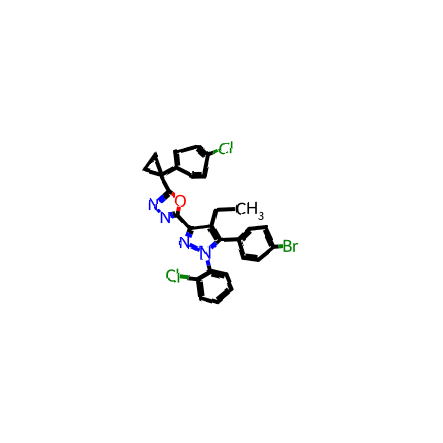 CCc1c(-c2nnc(C3(c4ccc(Cl)cc4)CC3)o2)nn(-c2ccccc2Cl)c1-c1ccc(Br)cc1